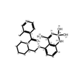 Cc1cnccc1C(=O)N1CCCCC1COc1cccc2c1C(N)=NS(O)(O)N2